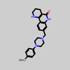 COc1ccc(N2CCN(Cc3ccc4c5c(c(=O)[nH]c4c3)CCCN5)CC2)cc1